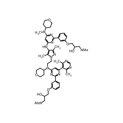 CNCC(O)COc1cccc(-c2nc(Nc3c(C)nn(CCN(c4cc(-c5c(C)ncnc5C)nc(-c5cccc(OCC(O)CNC)c5)n4)C4CCOCC4)c3C)cc(N(C)C3CCOCC3)n2)c1